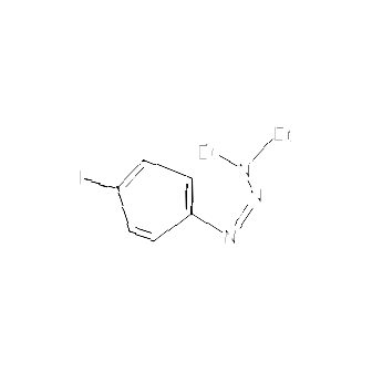 CCN(CC)/N=N\c1ccc(I)cc1